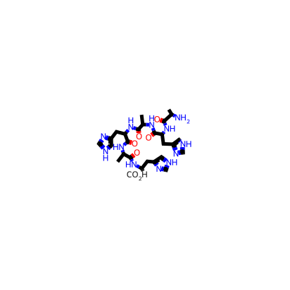 CC(N)C(=O)NC(Cc1c[nH]cn1)C(=O)NC(C)C(=O)NC(Cc1c[nH]cn1)C(=O)NC(C)C(=O)NC(Cc1c[nH]cn1)C(=O)O